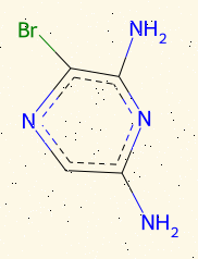 Nc1cnc(Br)c(N)n1